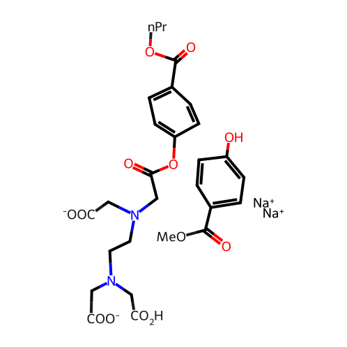 CCCOC(=O)c1ccc(OC(=O)CN(CCN(CC(=O)[O-])CC(=O)O)CC(=O)[O-])cc1.COC(=O)c1ccc(O)cc1.[Na+].[Na+]